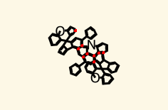 c1ccc(-c2ccc(-c3ccccc3N(c3ccccc3-c3ccc4c(c3)C3(c5ccccc5Oc5ccccc53)c3ccccc3-4)c3ccccc3-c3ccc4c(c3)C3(c5ccccc5Oc5ccccc53)c3ccccc3-4)cc2)cc1